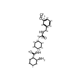 N[C@H]1CCCC[C@H]1C(=O)N[C@H]1CC[C@@H](CC(=O)NCc2cccc(OC(F)(F)F)c2)CC1